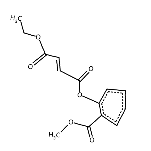 CCOC(=O)C=CC(=O)Oc1ccccc1C(=O)OC